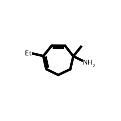 CCC1=CCCC(C)(N)C=C1